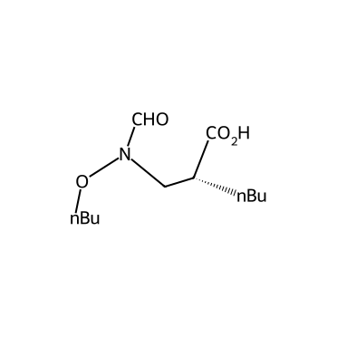 CCCCON(C=O)C[C@@H](CCCC)C(=O)O